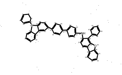 C1=CCCC(n2c3ccccc3c3cc(-c4ccc(-c5ccc(Nc6ccc7c(oc8ccccc87)c6-c6ccccc6)cc5)cc4)ccc32)=C1